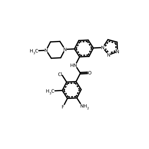 Cc1c(F)c(N)cc(C(=O)Nc2cc(-n3ccnn3)ccc2N2CCN(C)CC2)c1Cl